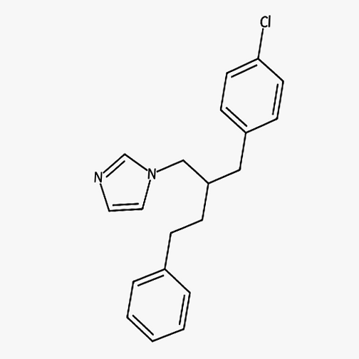 Clc1ccc(CC(CCc2ccccc2)Cn2ccnc2)cc1